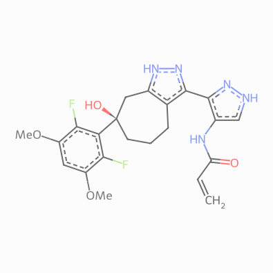 C=CC(=O)Nc1c[nH]nc1-c1n[nH]c2c1CCC[C@](O)(c1c(F)c(OC)cc(OC)c1F)C2